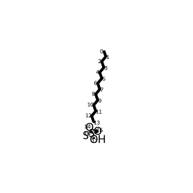 CCCCCCCCCCCCCCOS(=O)(O)=S